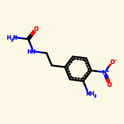 NC(=O)NCCc1ccc([N+](=O)[O-])c(N)c1